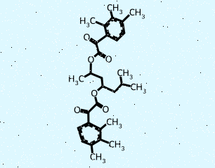 Cc1ccc(C(=O)C(=O)OC(C)CC(CC(C)C)OC(=O)C(=O)c2ccc(C)c(C)c2C)c(C)c1C